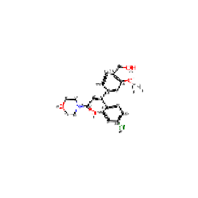 COc1cc(C(=CC(=O)N2CCOCC2)c2ccc(Cl)cc2)ccc1CO